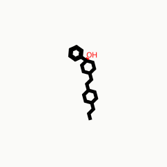 CCCC1CCC(CCC2CCC(O)(c3ccccc3)CC2)CC1